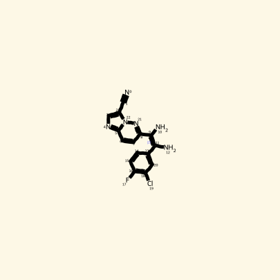 N#Cc1cnc2ccc(/C(N)=C(/N)c3ccc(F)c(Cl)c3)nn12